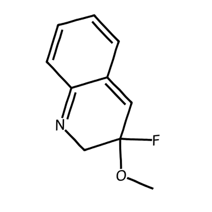 COC1(F)C=c2ccccc2=NC1